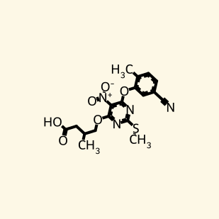 CSc1nc(OCC(C)CC(=O)O)c([N+](=O)[O-])c(Oc2cc(C#N)ccc2C)n1